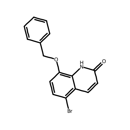 O=c1ccc2c(Br)ccc(OCc3ccccc3)c2[nH]1